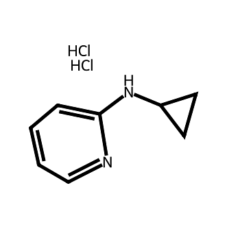 Cl.Cl.c1ccc(NC2CC2)nc1